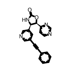 O=C1N[C@H](c2cncc(C#Cc3ccccc3)c2)[C@H](c2ccncn2)O1